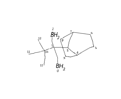 BC(B)(C1C2CCC1CC2)C(C)(C)C